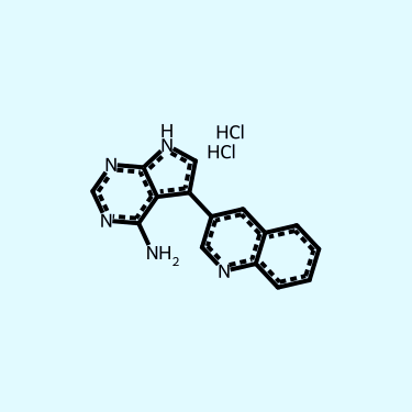 Cl.Cl.Nc1ncnc2[nH]cc(-c3cnc4ccccc4c3)c12